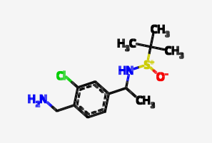 CC(N[S+]([O-])C(C)(C)C)c1ccc(CN)c(Cl)c1